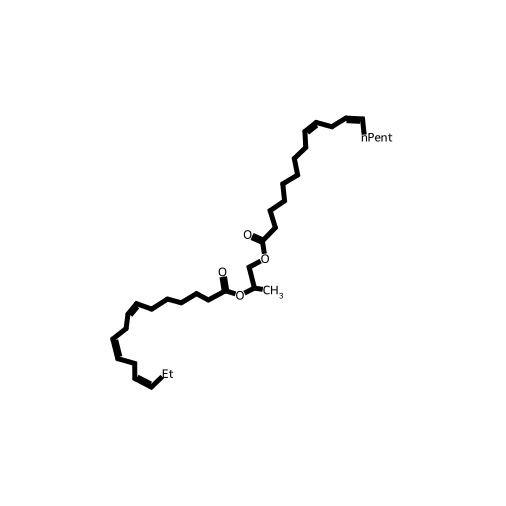 CC/C=C\C/C=C\C/C=C\CCCCCC(=O)OC(C)COC(=O)CCCCCCC/C=C\C/C=C\CCCCC